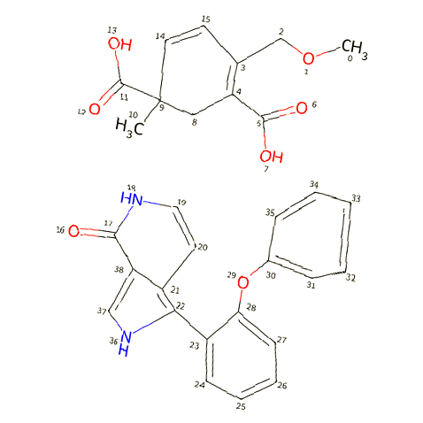 COCC1=C(C(=O)O)CC(C)(C(=O)O)C=C1.O=c1[nH]ccc2c(-c3ccccc3Oc3ccccc3)[nH]cc12